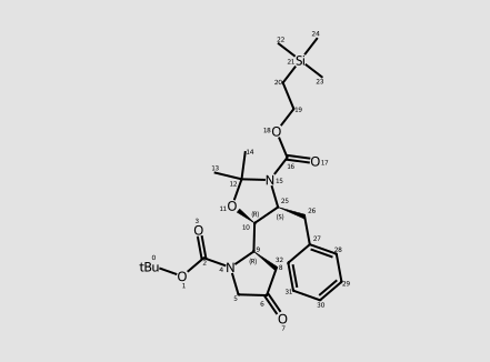 CC(C)(C)OC(=O)N1CC(=O)C[C@@H]1[C@H]1OC(C)(C)N(C(=O)OCC[Si](C)(C)C)[C@H]1Cc1ccccc1